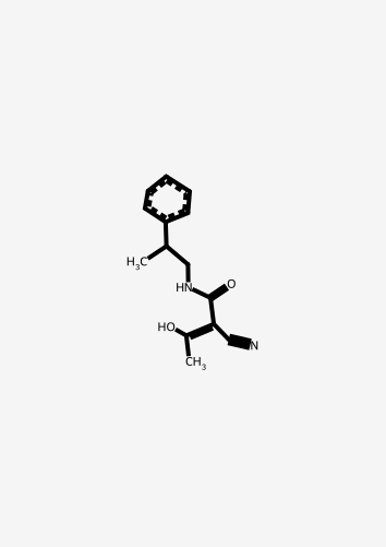 CC(O)=C(C#N)C(=O)NCC(C)c1ccccc1